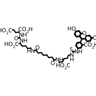 O=C(O)CCC(NC(=O)NC(CCCCNC(=O)CCCCCCC(=O)NC(CCCCNC(=S)Nc1ccc(-c2c3ccc(=O)cc-3oc3cc(O)ccc23)c(C(=O)O)c1)C(=O)O)C(=O)O)C(=O)O